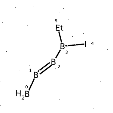 BB=BB(I)CC